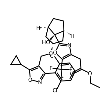 CCOC(=O)Cc1nc([C@]2(O)[C@@H]3CC[C@H]2C[C@H](OCc2c(-c4c(Cl)cccc4Cl)noc2C2CC2)C3)oc1C(F)(F)F